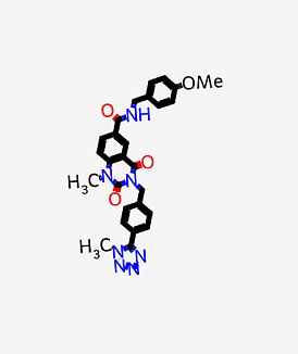 COc1ccc(CNC(=O)c2ccc3c(c2)c(=O)n(Cc2ccc(-c4nnnn4C)cc2)c(=O)n3C)cc1